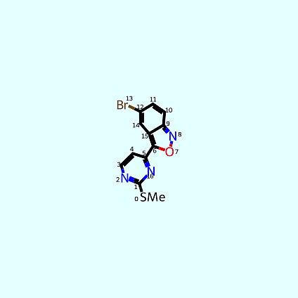 CSc1nccc(-c2onc3ccc(Br)cc23)n1